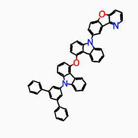 c1ccc(-c2cc(-c3ccccc3)cc(-n3c4ccccc4c4c(Oc5cccc6c5c5ccccc5n6-c5ccc6oc7cccnc7c6c5)cccc43)c2)cc1